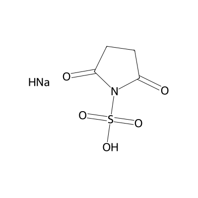 O=C1CCC(=O)N1S(=O)(=O)O.[NaH]